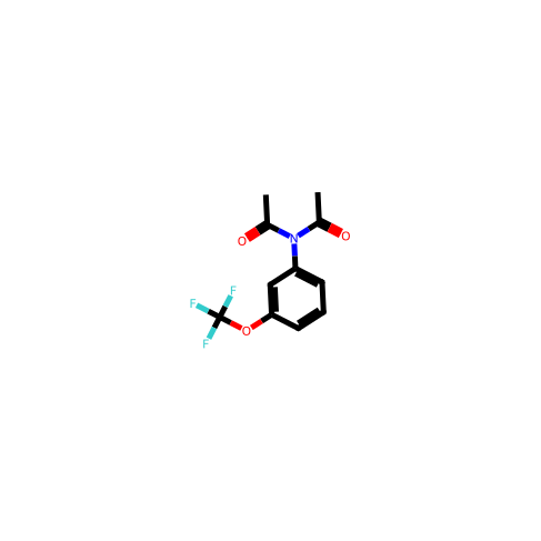 CC(=O)N(C(C)=O)c1cccc(OC(F)(F)F)c1